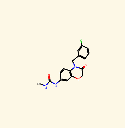 CC(C)(C)NC(=O)Nc1ccc2c(c1)OCC(=O)N2Cc1cccc(Cl)c1